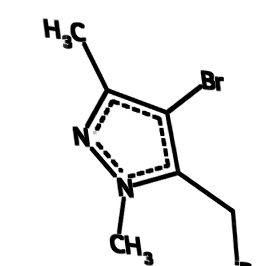 Cc1nn(C)c(CC(C)C)c1Br